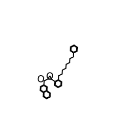 O=C(c1ccc2ccccc2c1)C1OC1c1ccccc1CCCCCCCCc1ccccc1